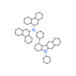 c1ccc(-n2c3cc4ccccc4cc3c3c(-c4cccc(N(c5cc6ccccc6c6ccccc56)c5cc6ccccc6c6ccccc56)c4)cccc32)cc1